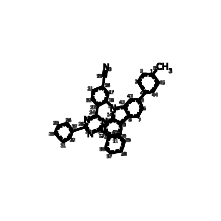 Cc1ccc(-c2ccc3c4ccccc4n(-c4cc(C#N)ccc4-c4nc(-c5ccccc5)nc(-c5ccccc5)n4)c3c2)cc1